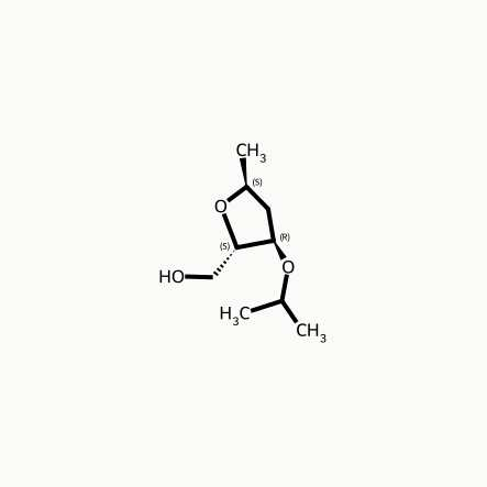 CC(C)O[C@@H]1C[C@H](C)O[C@H]1CO